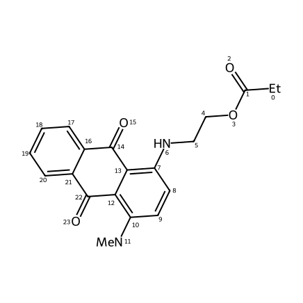 CCC(=O)OCCNc1ccc(NC)c2c1C(=O)c1ccccc1C2=O